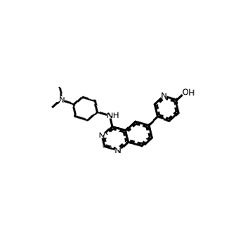 CN(C)C1CCC(Nc2ncnc3ccc(-c4ccc(O)nc4)cc23)CC1